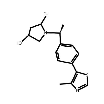 [2H]C1CC(O)CN1[C@@H](C)c1ccc(-c2scnc2C)cc1